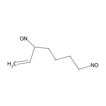 C=CC(CCCCN=O)N=O